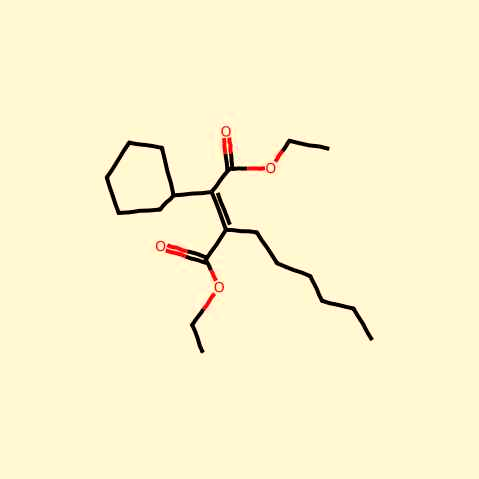 CCCCCCC(C(=O)OCC)=C(C(=O)OCC)C1CCCCC1